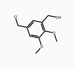 COc1cc(CCl)cc(CO)c1OC